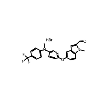 Br.CN(c1ccc(C(F)(F)F)cc1)c1ccc(Oc2ccc3c(c2)cc(C=O)n3C)nc1